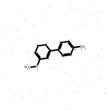 COC1=CC[CH]C(c2ccc(C)cc2)=C1